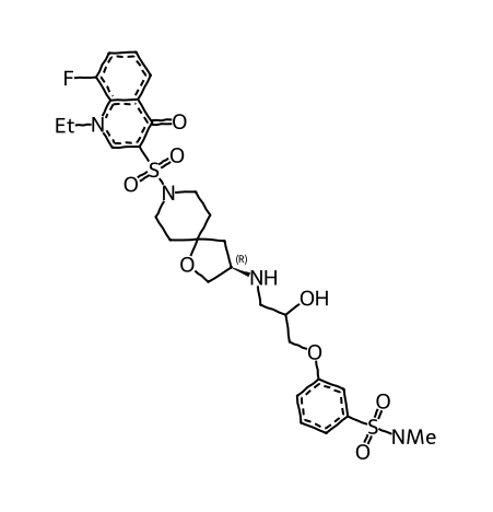 CCn1cc(S(=O)(=O)N2CCC3(CC2)C[C@@H](NCC(O)COc2cccc(S(=O)(=O)NC)c2)CO3)c(=O)c2cccc(F)c21